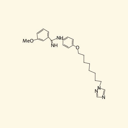 COc1cccc(C(=N)Nc2ccc(OCCCCCCCCn3cncn3)cc2)c1